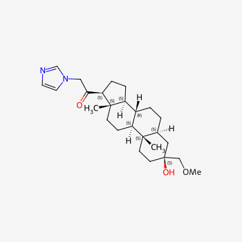 COC[C@]1(O)CC[C@@]2(C)[C@@H](CC[C@@H]3[C@@H]2CC[C@]2(C)[C@@H](C(=O)Cn4ccnc4)CC[C@@H]32)C1